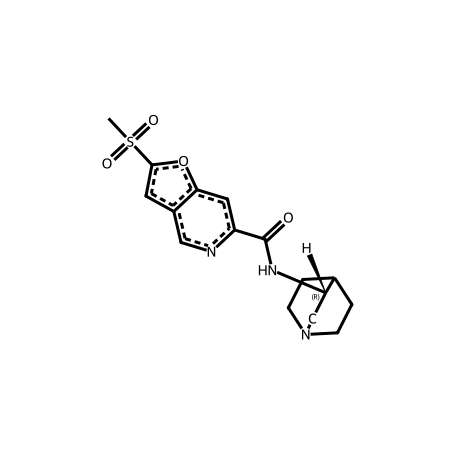 CS(=O)(=O)c1cc2cnc(C(=O)N[C@H]3CN4CCC3CC4)cc2o1